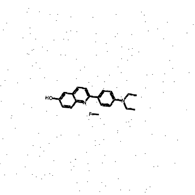 CCN(CC)c1ccc(-c2ccc3cc(O)ccc3n2)cc1.CF